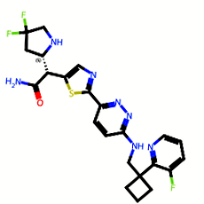 NC(=O)C(c1cnc(-c2ccc(NCC3(c4ncccc4F)CCC3)nn2)s1)[C@@H]1CC(F)(F)CN1